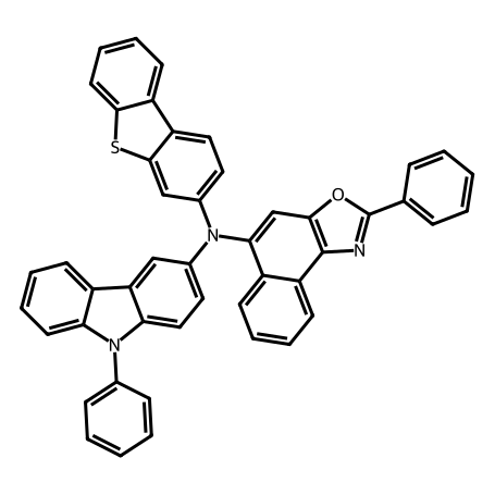 c1ccc(-c2nc3c(cc(N(c4ccc5c(c4)sc4ccccc45)c4ccc5c(c4)c4ccccc4n5-c4ccccc4)c4ccccc43)o2)cc1